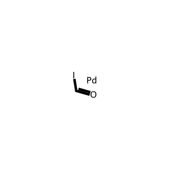 O=CI.[Pd]